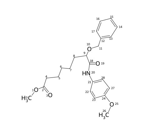 COC(=O)CCCCCC(OCc1ccccc1)C(=O)Nc1ccc(OC)cc1